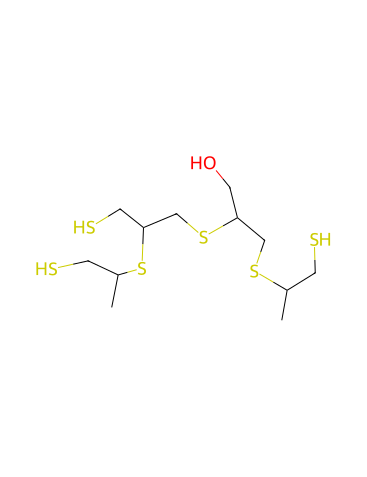 CC(CS)SCC(CO)SCC(CS)SC(C)CS